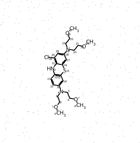 COCCN(CCOC)c1ccc2c(c1)Sc1cc(N(CCOC)CCOC)cc(Cl)c1N2